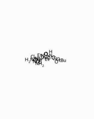 CCn1c(CNC(=O)c2nc(Cl)c(N)nc2N)[n+](CC)c2c(C(=O)NC3CCN(C(=O)OC(C)(C)C)CC3)cccc21